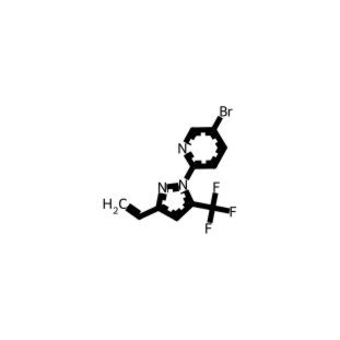 C=Cc1cc(C(F)(F)F)n(-c2ccc(Br)cn2)n1